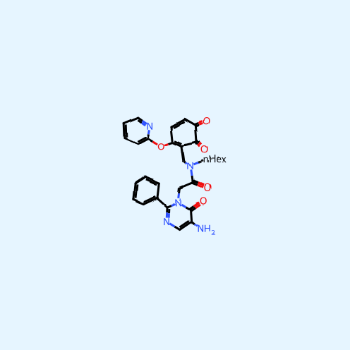 CCCCCCN(CC1=C(Oc2ccccn2)C=CC(=O)C1=O)C(=O)Cn1c(-c2ccccc2)ncc(N)c1=O